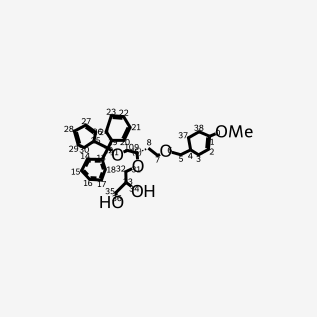 COC1=CCC(COCC[C@@H](COC(c2ccccc2)(C2C=CC=CC2)C2C=CC=CC2)OCC(O)CO)CC1